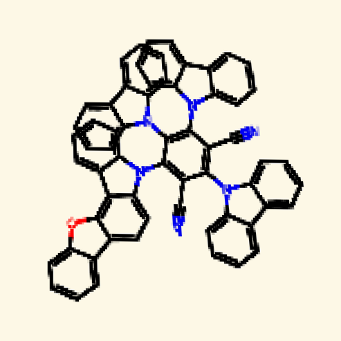 N#Cc1c(-n2c3ccccc3c3ccccc32)c(C#N)c(-n2c3ccccc3c3c4oc5ccccc5c4ccc32)c(-n2c3ccccc3c3ccccc32)c1-n1c2ccccc2c2ccccc21